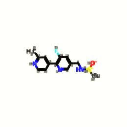 Cc1cc(-c2ncc(CN[S+]([O-])C(C)(C)C)cc2F)ccn1